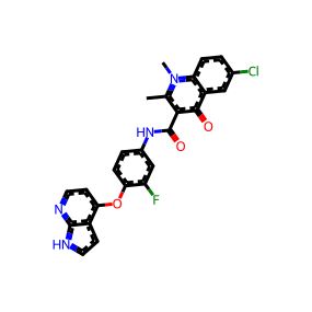 Cc1c(C(=O)Nc2ccc(Oc3ccnc4[nH]ccc34)c(F)c2)c(=O)c2cc(Cl)ccc2n1C